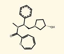 CN(C(=O)C1=CC=CC=CO1)[C@H](CN1CC[C@H](O)C1)c1ccccc1